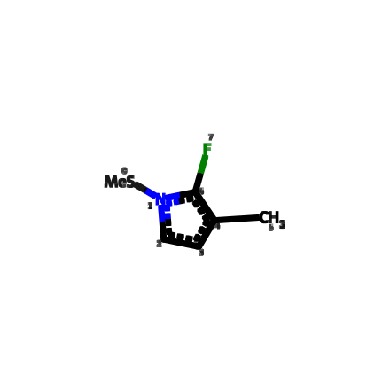 CSn1ccc(C)c1F